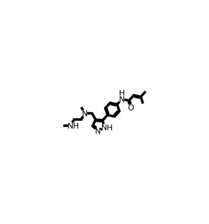 CNCCN(C)Cc1cn[nH]c1-c1ccc(NC(=O)C=C(C)C)cc1